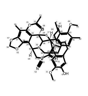 CCCN1CCc2cc(O)c(OC)cc2[C@@]12CS[C@@H]1c3c(OC(C)=O)c(C)c4c(c3[C@H](COC2=O)N2C1[C@H]1c3c(cc(C)c(OC)c3O)C[C@@H]([C@@H]2C#N)N1C)OCO4